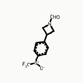 O=CN1CC(c2ccc([S+]([O-])C(F)(F)F)cc2)C1